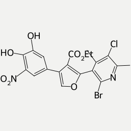 CCOC(=O)c1c(-c2cc(O)c(O)c([N+](=O)[O-])c2)coc1-c1c(Br)nc(C)c(Cl)c1C